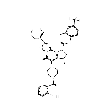 Cc1cc(C(F)(F)F)ccc1NC(=O)[C@H]1C[C@@H](C)c2c(N3CCN(C(=O)c4ncccc4O)CC3)c(=O)n3nc(C4=CCOCC4)nc3n21